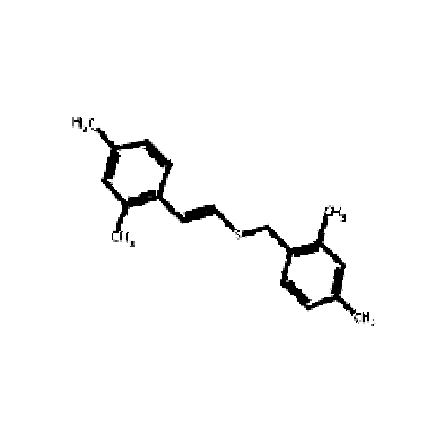 Cc1ccc(C=CSCc2ccc(C)cc2C)c(C)c1